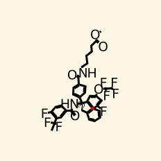 COC(=O)CCCCCNC(=O)c1ccc([C@@](Cc2ccccc2)(NC(=O)c2ccc(F)c(C(C)(F)F)c2)c2cc(F)cc(OC(F)(F)C(F)F)c2)cc1